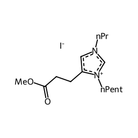 CCCCC[n+]1cn(CCC)cc1CCC(=O)OC.[I-]